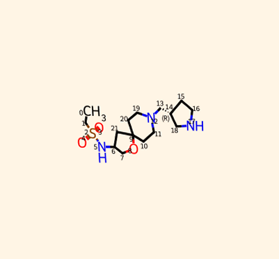 CCS(=O)(=O)NC1COC2(CCN(C[C@@H]3CCNC3)CC2)C1